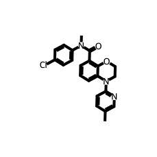 Cc1ccc(N2CCOc3c(C(=O)N(C)c4ccc(Cl)cc4)cccc32)nc1